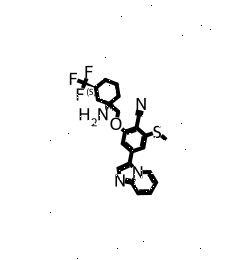 CSc1cc(-c2cnc3ccccn23)cc(OC[C@@]2(N)CCC[C@H](C(F)(F)F)C2)c1C#N